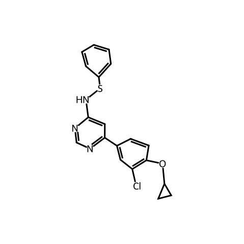 Clc1cc(-c2cc(NSc3ccccc3)ncn2)ccc1OC1CC1